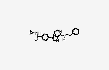 O=C(NC1CC1)c1ccc(-c2cnc3c(NCCc4ccccc4)nccn23)cc1